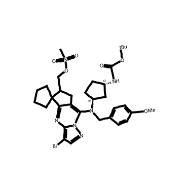 COc1ccc(CN(c2c3c(nc4c(Br)cnn24)C2(CCCC2)C(COS(C)(=O)=O)C3)[C@H]2CC[C@H](NC(=O)OC(C)(C)C)C2)cc1